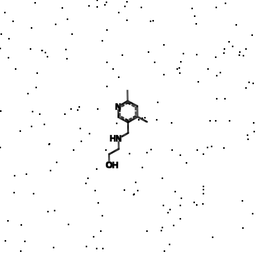 Cc1cc(C)c(CNCCO)cn1